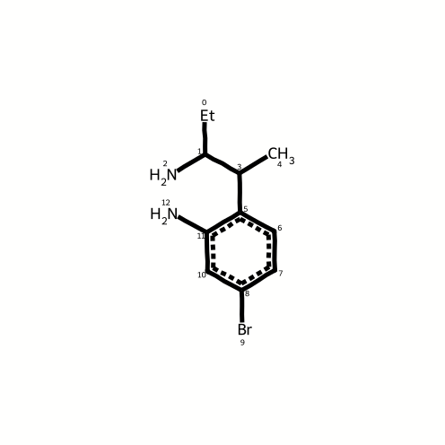 CCC(N)C(C)c1ccc(Br)cc1N